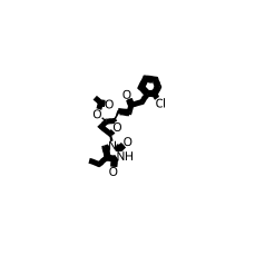 CCc1cn([C@H]2C[C@H](OC(C)=O)[C@@H](/C=C/C(=O)Cc3ccccc3Cl)O2)c(=O)[nH]c1=O